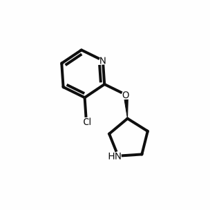 Clc1cccnc1O[C@H]1CCNC1